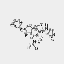 C=CC(=O)N1CCN(c2nc(Nc3cnn(C)c3)ncc2-c2ccc(Oc3nccc(C)n3)c(F)c2)[C@@H](C)C1